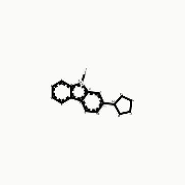 In1c2ccccc2c2ccc(C3CCCC3)cc21